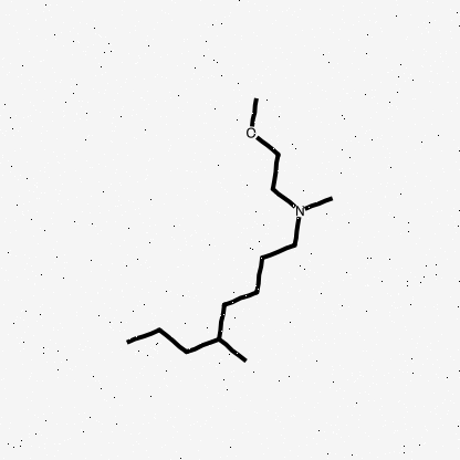 CCCC(C)CCCCN(C)CCOC